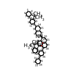 CC1(C)c2ccccc2-c2ccc(C(/C=C\C=C\C=C(/C=C\c3ccc(-c4ccc(-c5ccccc5)cc4)cc3)c3ccc4c(c3)C(C)(C)c3ccccc3-4)=C/C=C/N)cc21